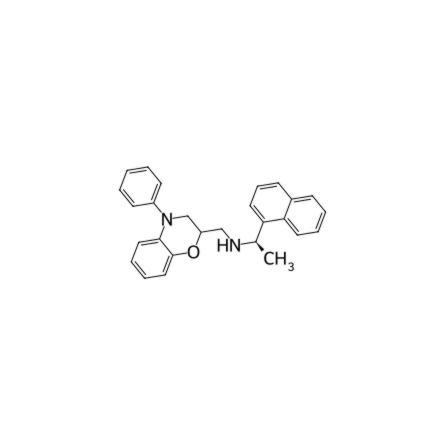 C[C@@H](NCC1CN(c2ccccc2)c2ccccc2O1)c1cccc2ccccc12